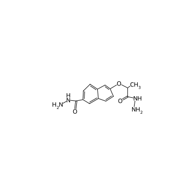 CC(Oc1ccc2cc(C(=O)NN)ccc2c1)C(=O)NN